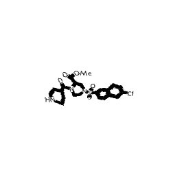 COC(=O)C1CN(S(=O)(=O)c2ccc3cc(Cl)ccc3c2)CCN1C(=O)C1CCNCC1